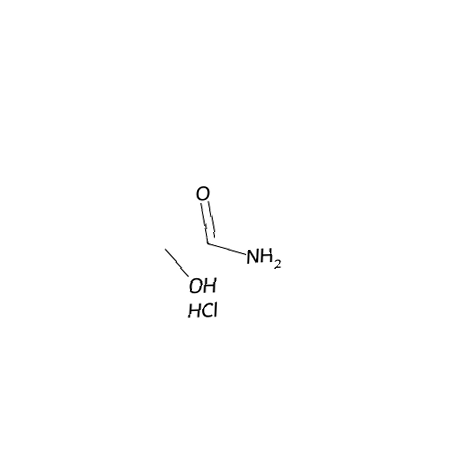 CO.Cl.NC=O